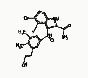 Cc1cc([PH](=O)c2c(C(N)=O)[nH]c3ccc(Cl)c(F)c23)cc(C=CC#N)c1C